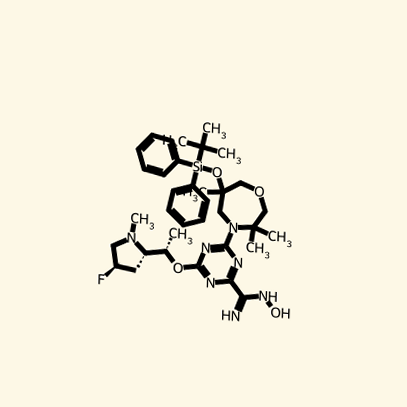 C[C@H](Oc1nc(C(=N)NO)nc(N2CC(C)(O[Si](c3ccccc3)(c3ccccc3)C(C)(C)C)COCC2(C)C)n1)[C@@H]1C[C@@H](F)CN1C